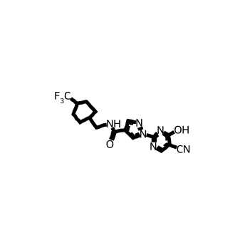 N#Cc1cnc(-n2cc(C(=O)NCC3CCC(C(F)(F)F)CC3)cn2)nc1O